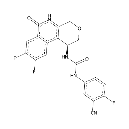 N#Cc1cc(NC(=O)N[C@@H]2COCc3[nH]c(=O)c4cc(F)c(F)cc4c32)ccc1F